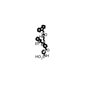 CCn1c(-c2nc3cc(C(=O)N4CCC[C@@H](NC(=O)O)C4)ccc3n2CCCNC(=O)OCC2c3ccccc3-c3ccccc32)cc2ccccc21